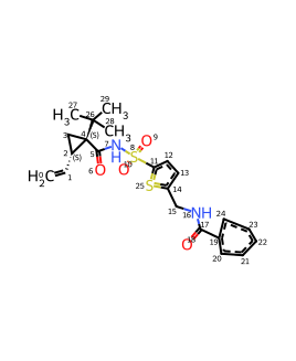 C=C[C@@H]1C[C@@]1(C(=O)NS(=O)(=O)c1ccc(CNC(=O)c2ccccc2)s1)C(C)(C)C